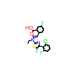 CCN(/N=C/c1ccc(F)cc1C(=O)O)c1nc(-c2c(F)cccc2Cl)c(F)s1